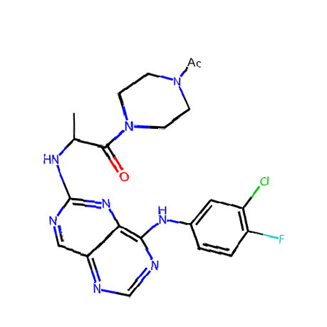 CC(=O)N1CCN(C(=O)C(C)Nc2ncc3ncnc(Nc4ccc(F)c(Cl)c4)c3n2)CC1